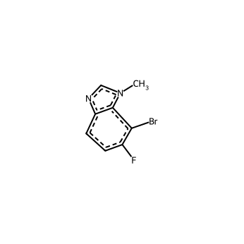 Cn1cnc2ccc(F)c(Br)c21